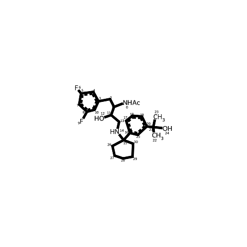 CC(=O)NC(Cc1cc(F)cc(F)c1)C(O)CNC1(c2cccc(C(C)(C)O)c2)CCCCC1